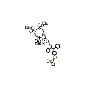 CCN(CC)CCOc1ccc(/C(=C(/CCCOCC(O)CN2CCCN(C(=O)OC(C)(C)C)CCN(C(=O)OC(C)(C)C)CCCN(C(=O)OC(C)(C)C)CC2)c2ccccc2)c2ccccc2)cc1